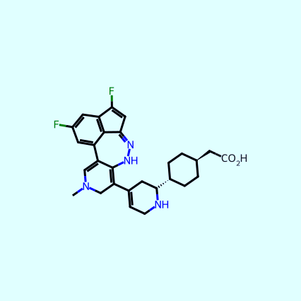 CN1C=C2C(=C(C3=CCNC([C@H]4CC[C@H](CC(=O)O)CC4)C3)C1)NN=C1C=C(F)c3cc(F)cc2c31